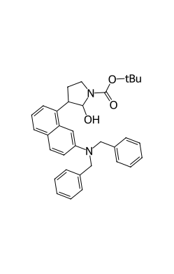 CC(C)(C)OC(=O)N1CCC(c2cccc3ccc(N(Cc4ccccc4)Cc4ccccc4)cc23)C1O